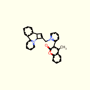 Cc1c(-c2cccc[n+]2CC2=CC3c4ccccc4-c4cccc[n+]4C23)c(=O)oc2ccccc12